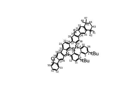 CC(C)(C)c1ccc(N2B3c4cc(C(C)(C)C)ccc4-n4c5cc6c(cc5c5ccc(c3c54)-c3cc4sc5cc7c(cc5c4cc32)C(C)(C)CCC7(C)C)oc2ccccc26)cc1